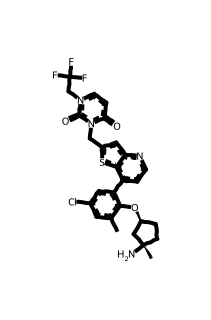 Cc1cc(Cl)cc(-c2ccnc3cc(Cn4c(=O)ccn(CC(F)(F)F)c4=O)sc23)c1O[C@H]1CC[C@](C)(N)C1